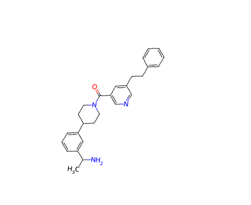 CC(N)c1cccc(C2CCN(C(=O)c3cncc(CCc4ccccc4)c3)CC2)c1